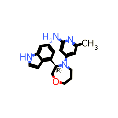 Cc1cc(N2CCCOC[C@H]2c2cccc3[nH]ccc23)cc(N)n1